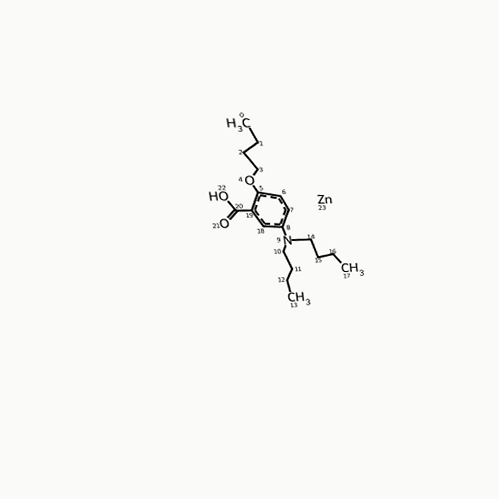 CCCCOc1ccc(N(CCCC)CCCC)cc1C(=O)O.[Zn]